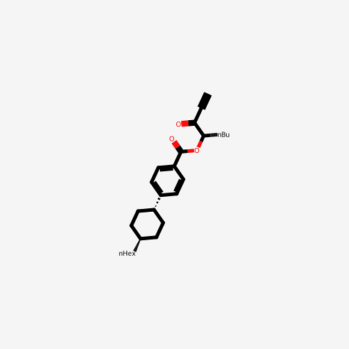 C#CC(=O)C(CCCC)OC(=O)c1ccc([C@H]2CC[C@H](CCCCCC)CC2)cc1